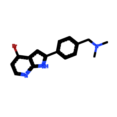 CN(C)Cc1ccc(-c2cc3c(Br)ccnc3[nH]2)cc1